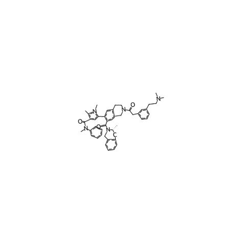 Cc1c(C(=O)N(C)c2ccccc2)cc(-c2cc3c(cc2C(=O)N2Cc4ccccc4C[C@H]2C)CN(C(=O)Cc2cccc(CCN(C)C)c2)CC3)n1C